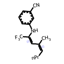 CCC/C=C(C)\C=C(/Nc1cccc(C#N)c1)C(F)(F)F